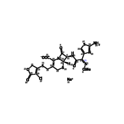 CO/N=C(\C(=O)N[C@@H]1C(=O)N2C(C(=O)[O-])=C(CSC3=C(Cl)C(=O)OC3)CS[C@@H]12)c1csc(N)n1.[Na+]